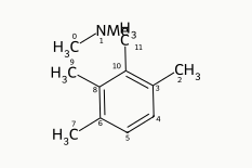 CNC.Cc1ccc(C)c(C)c1C